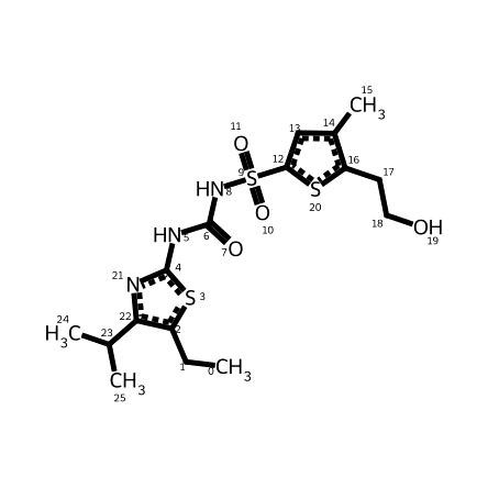 CCc1sc(NC(=O)NS(=O)(=O)c2cc(C)c(CCO)s2)nc1C(C)C